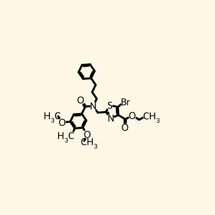 CCOC(=O)c1nc(CN(CCCc2ccccc2)C(=O)c2cc(OC)c(C)c(OC)c2)sc1Br